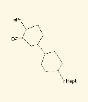 CCCCCCCC1CCC(C2CCC(CCC)C(=O)C2)CC1